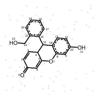 O=C1C=CC2C(=C1)Oc1cc(O)ccc1C2c1ccccc1CO